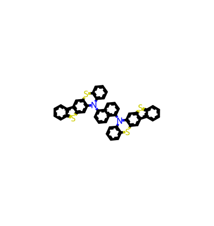 c1ccc2c(c1)Sc1cc3c(cc1N2c1cccc2c(N4c5ccccc5Sc5cc6c(cc54)sc4ccccc46)cccc12)sc1ccccc13